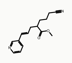 COC(=O)C(CC=Cc1cccnc1)CCCC#N